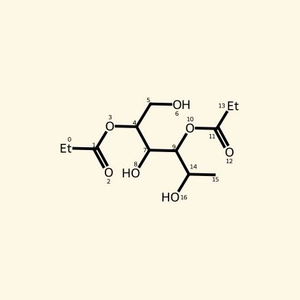 CCC(=O)OC(CO)C(O)C(OC(=O)CC)C(C)O